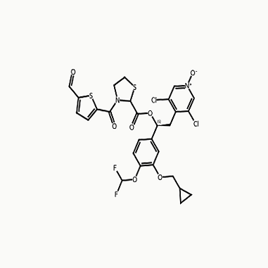 O=Cc1ccc(C(=O)N2CCSC2C(=O)O[C@@H](Cc2c(Cl)c[n+]([O-])cc2Cl)c2ccc(OC(F)F)c(OCC3CC3)c2)s1